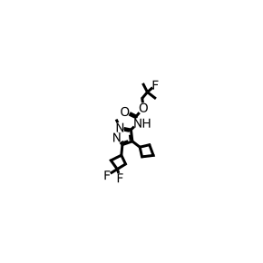 Cn1nc(C2CC(F)(F)C2)c(C2CCC2)c1NC(=O)OCC(C)(C)F